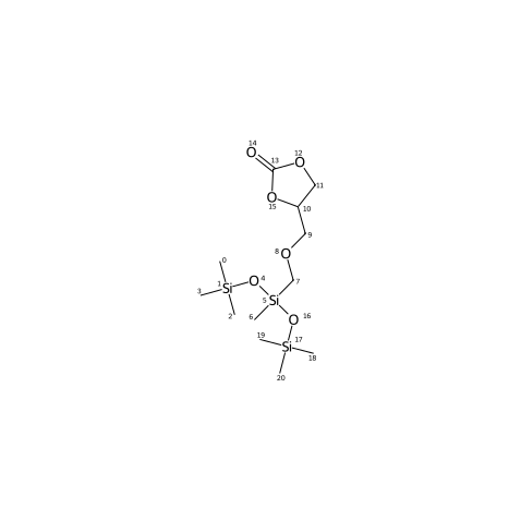 C[Si](C)(C)O[Si](C)(COCC1COC(=O)O1)O[Si](C)(C)C